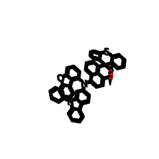 c1ccc(-n2c3ccccc3c3ccc(N(c4ccc5c6c(cccc46)C4(c6ccccc6Sc6ccccc64)c4ccccc4-5)c4cccc5oc6ccccc6c45)cc32)cc1